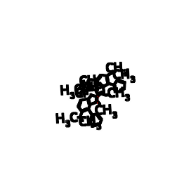 CCCC1=Cc2c(ccc(C(C)C)c2-c2ccccc2)[CH]1[Zr]([Cl])([Cl])([CH]1C(CCC)=Cc2c1ccc(C(C)C)c2-c1ccccc1)[SiH](C)C